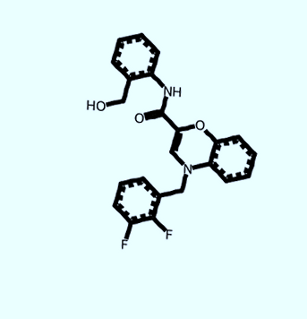 O=C(Nc1ccccc1CO)C1=CN(Cc2cccc(F)c2F)c2ccccc2O1